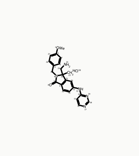 COc1ccc(CN2C(=O)c3ccc(Nc4ccncn4)cc3C2(C)CN)cc1.Cl